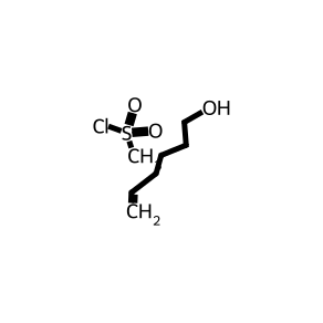 C=CCCCCO.CS(=O)(=O)Cl